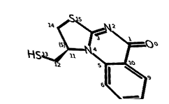 O=c1nc2n(c3ccccc13)[C@@H](CS)CS2